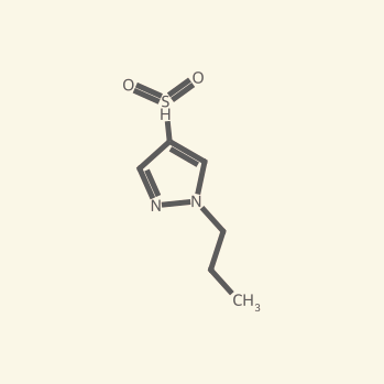 CCCn1cc([SH](=O)=O)cn1